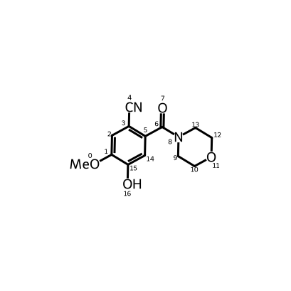 COc1cc(C#N)c(C(=O)N2CCOCC2)cc1O